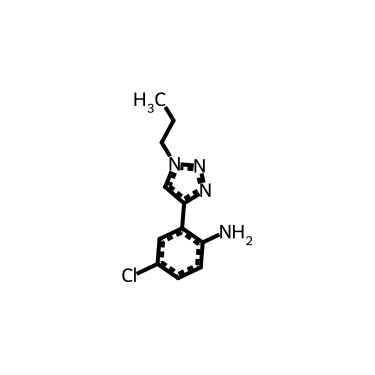 CCCn1cc(-c2cc(Cl)ccc2N)nn1